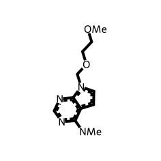 CNc1ncnc2c1ccn2COCCOC